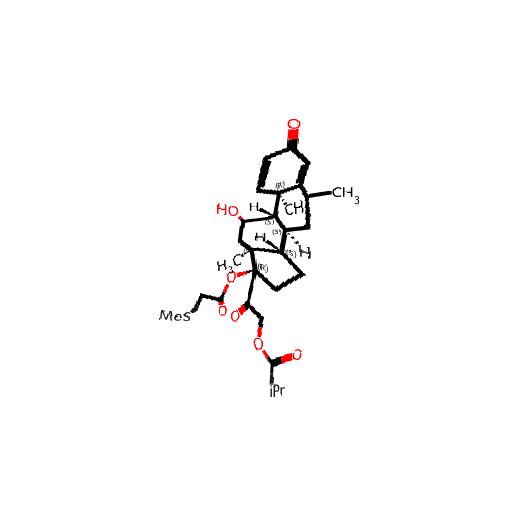 CSCC(=O)O[C@]1(C(=O)COC(=O)C(C)C)CC[C@H]2[C@@H]3CC(C)C4=CC(=O)C=C[C@]4(C)[C@H]3C(O)C[C@@]21C